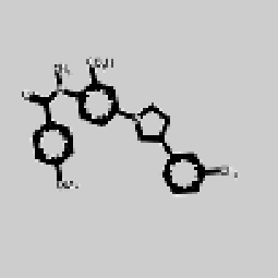 COc1ccc(C(=O)N(C)c2ccc(N3CCC(c4cccc(C)c4)C3)cc2C(=O)O)cc1